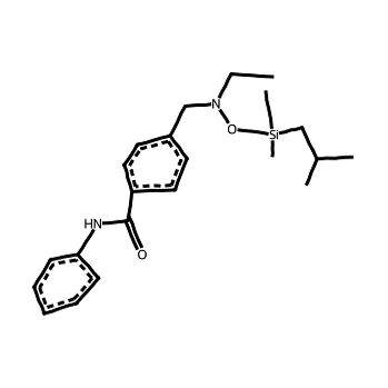 CCN(Cc1ccc(C(=O)Nc2ccccc2)cc1)O[Si](C)(C)CC(C)C